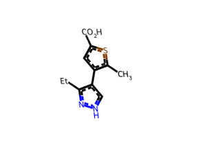 CCc1n[nH]cc1-c1cc(C(=O)O)sc1C